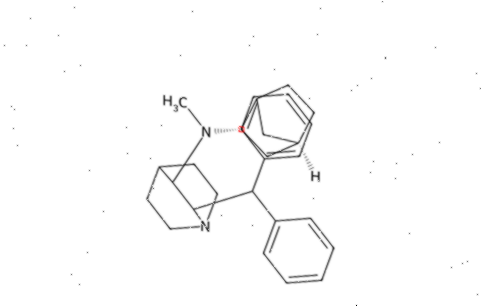 CN(C1C2CCN(CC2)C1C(c1ccccc1)c1ccccc1)[C@H]1C[C@@H]2CCC1C2